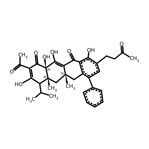 CC(=O)CCc1cc(-c2ccccc2)c2c(c1O)C(=O)C1=C(O)[C@@]3(O)C(=O)C(C(C)=O)=C(O)C(C(C)C)[C@@]3(C)C[C@@]1(C)C2